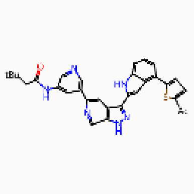 CC(=O)c1ccc(-c2cccc3[nH]c(-c4n[nH]c5cnc(-c6cncc(NC(=O)CC(C)(C)C)c6)cc45)cc23)s1